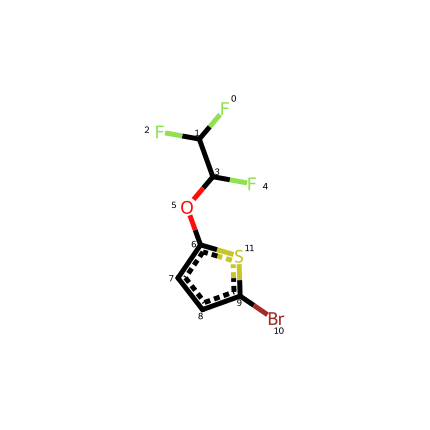 FC(F)C(F)Oc1ccc(Br)s1